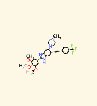 COc1cc(-c2nc3cc(N4CCN(C)CC4)c(C#Cc4ccc(C(F)(F)F)cc4)cc3[nH]2)cc(OC)c1OC